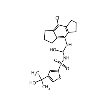 CC(C)(O)c1csc(S(=O)(=O)NC(O)Nc2c3c(c(Cl)c4c2CCC4)CCC3)c1